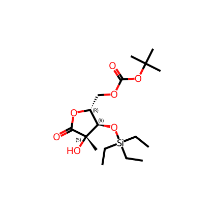 CC[Si](CC)(CC)O[C@@H]1[C@@H](COC(=O)OC(C)(C)C)OC(=O)[C@@]1(C)O